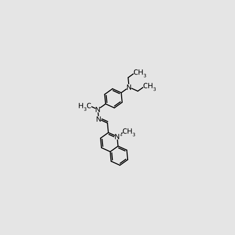 CCN(CC)c1ccc(N(C)/N=C/c2ccc3ccccc3[n+]2C)cc1